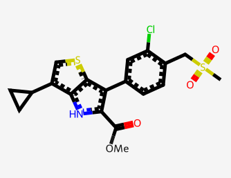 COC(=O)c1[nH]c2c(C3CC3)csc2c1-c1ccc(CS(C)(=O)=O)c(Cl)c1